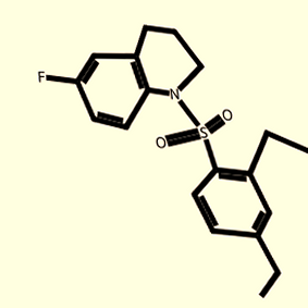 CCc1ccc(S(=O)(=O)N2CCCc3cc(F)ccc32)c(CC(C)C)c1